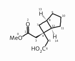 COC(=O)C[C@@]1(CC(=O)O)C[C@H]2CCC[C@H]21